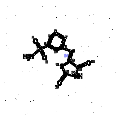 NS(=O)(=O)c1cccc(/C=C2\SC(=O)NC2=O)c1